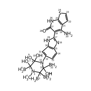 BC1(B)N(C)C(B)(O)C(O)(O)N(c2ccc3nc(-c4c(N)c5ccsc5[nH]c4=O)[nH]c3c2)C1(B)O